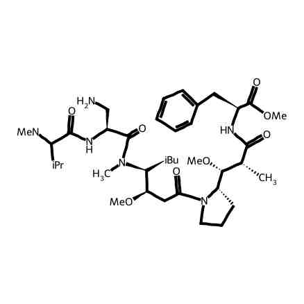 CC[C@H](C)[C@@H]([C@@H](CC(=O)N1CCC[C@H]1[C@H](OC)[C@@H](C)C(=O)N[C@@H](Cc1ccccc1)C(=O)OC)OC)N(C)C(=O)[C@H](CN)NC(=O)C(NC)C(C)C